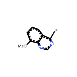 COc1cccc2c(C(C)C)ncnc12